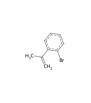 C=C(C)c1ccc[c]c1Br